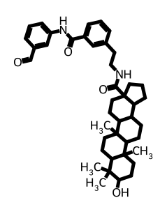 CC1(C)C(O)CCC2(C)C1CCC1(C)C3CCC4(C(=O)NCCc5cccc(C(=O)Nc6cccc(C=O)c6)c5)CCCC4C3CCC12